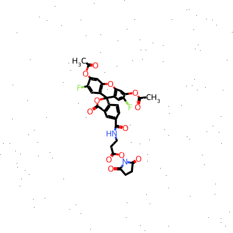 CC(=O)Oc1cc2c(cc1F)C1(OC(=O)c3cc(C(=O)NCCC(=O)ON4C(=O)CCC4=O)ccc31)c1cc(F)c(OC(C)=O)cc1O2